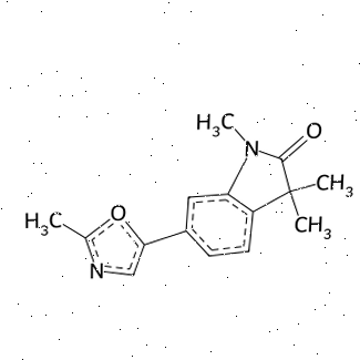 Cc1ncc(-c2ccc3c(c2)N(C)C(=O)C3(C)C)o1